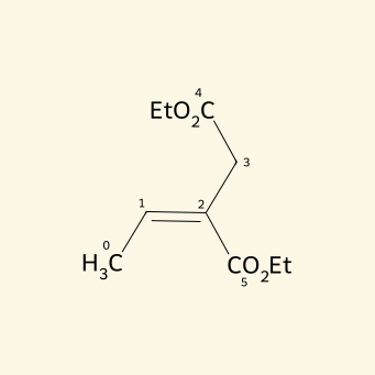 CC=C(CC(=O)OCC)C(=O)OCC